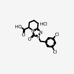 Cl.O=C(O)C1CCCc2nn(Cc3cc(Cl)cc(Cl)c3)c(=O)n21